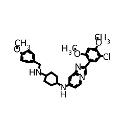 COc1ccc(CNC2CCC(Nc3ccn4cc(-c5cc(Cl)c(OC)cc5OC)nc4c3)CC2)cc1